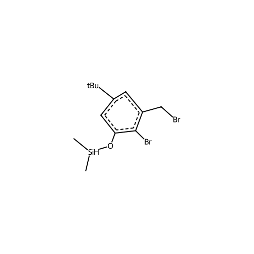 C[SiH](C)Oc1cc(C(C)(C)C)cc(CBr)c1Br